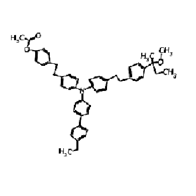 CCc1ccc(-c2ccc(N(c3ccc(CCc4ccc(OC(C)=O)cc4)cc3)c3ccc(CCc4ccc(C(C)(CC)OC)cc4)cc3)cc2)cc1